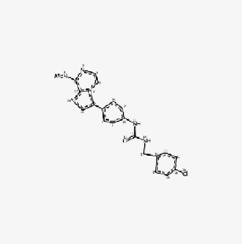 CNc1nccn2c(-c3ccc(NC(=O)NCc4ccc(Cl)cc4)cc3)cnc12